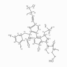 CSN(C(=O)N(C)CCO)c1nn(CC(F)(F)F)c2c(-c3ccc(C#CC(C)(C)[S+](C)[O-])nc3C(Cc3cc(F)cc(F)c3)NC=O)ccc(Cl)c12